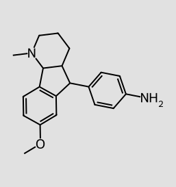 COc1ccc2c(c1)C(c1ccc(N)cc1)C1CCCN(C)C21